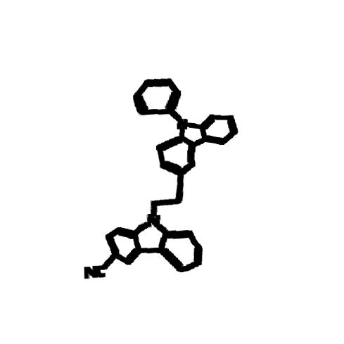 N#Cc1ccc2c(c1)c1ccccc1n2CCc1ccc2c(c1)c1ccccc1n2-c1ccccc1